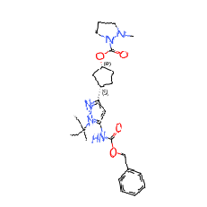 CN1CCCN1C(=O)O[C@@H]1CC[C@H](c2cc(NC(=O)OCc3ccccc3)n(C(C)(C)C)n2)C1